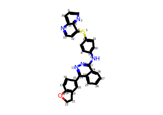 c1cnc2c(Sc3ccc(Nc4nnc(-c5ccc6c(c5)CCO6)c5ccccc45)cc3)ccnc2c1